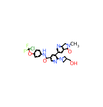 CN1Cc2ncc(-c3cc(C(=O)Nc4ccc(OC(F)(F)Cl)cc4)cnc3N3CC(CO)C3)cc2C1=O